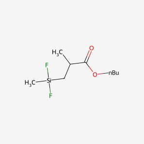 CCCCOC(=O)C(C)C[Si](C)(F)F